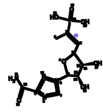 C/C(=C\C1OC(n2cnc(C(N)=O)n2)[C@H](O)[C@@H]1O)P(=O)(O)O